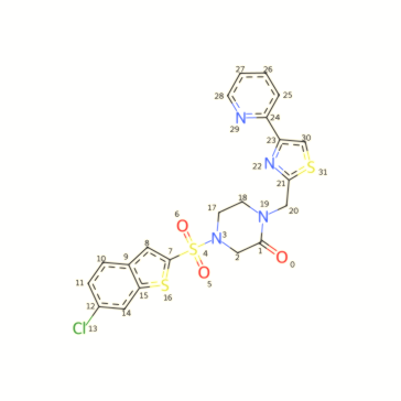 O=C1CN(S(=O)(=O)c2cc3ccc(Cl)cc3s2)CCN1Cc1nc(-c2ccccn2)cs1